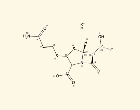 C[C@@H](O)[C@H]1C(=O)N2C(C(=O)[O-])C(SC=CC(N)=O)S[C@H]12.[K+]